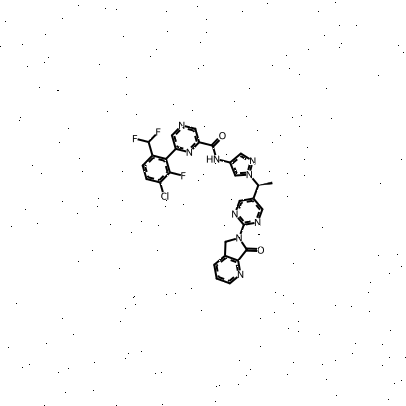 C[C@@H](c1cnc(N2Cc3cccnc3C2=O)nc1)n1cc(NC(=O)c2cncc(-c3c(C(F)F)ccc(Cl)c3F)n2)cn1